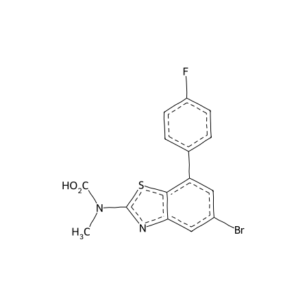 CN(C(=O)O)c1nc2cc(Br)cc(-c3ccc(F)cc3)c2s1